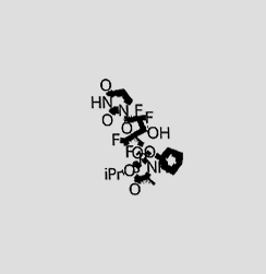 CC(C)OC(=O)[C@H](C)NP(=S)(OC[C@@]1(C(F)F)O[C@@H](n2ccc(=O)[nH]c2=O)C(F)(F)[C@@H]1O)Oc1ccccc1